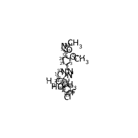 COc1cc(-c2nnc3n2CCCC3(Cc2ccc(Cl)c(F)c2)C(C)(C)O)ccc1-c1cnc(C)o1